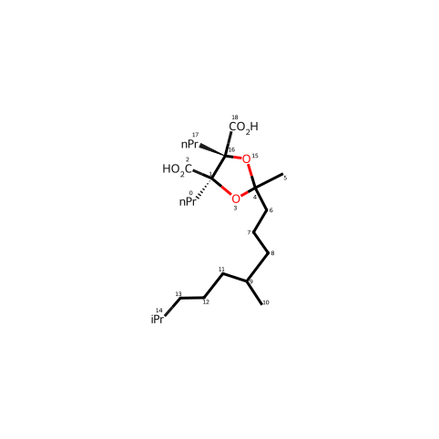 CCC[C@@]1(C(=O)O)OC(C)(CCCC(C)CCCC(C)C)O[C@@]1(CCC)C(=O)O